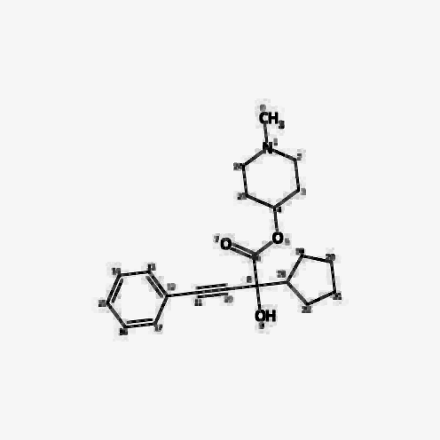 CN1CCC(OC(=O)C(O)(C#Cc2ccccc2)C2CCCC2)CC1